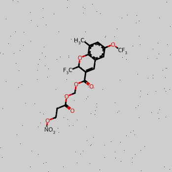 Cc1cc(OC(F)(F)F)cc2c1OC(C(F)(F)F)C(C(=O)OCOC(=O)CCO[N+](=O)[O-])=C2